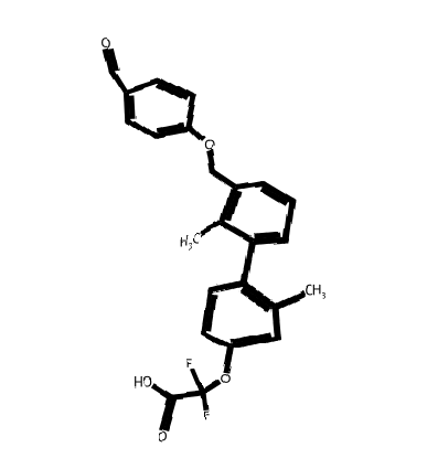 Cc1cc(OC(F)(F)C(=O)O)ccc1-c1cccc(COc2ccc(C=O)cc2)c1C